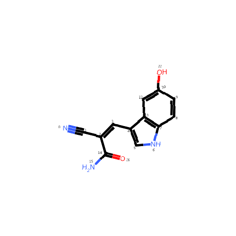 N#CC(=Cc1c[nH]c2ccc(O)cc12)C(N)=O